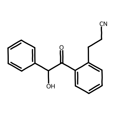 N#CCCc1ccccc1C(=O)C(O)c1ccccc1